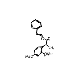 COc1ccc(C(C)C(=O)OC=Cc2ccccc2)c(OC)c1